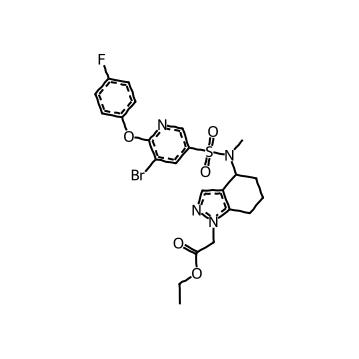 CCOC(=O)Cn1ncc2c1CCCC2N(C)S(=O)(=O)c1cnc(Oc2ccc(F)cc2)c(Br)c1